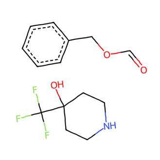 O=COCc1ccccc1.OC1(C(F)(F)F)CCNCC1